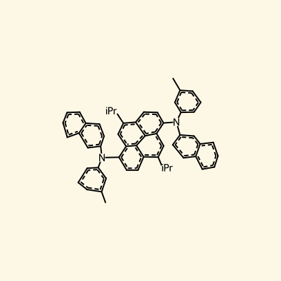 Cc1cccc(N(c2ccc3ccccc3c2)c2ccc3c(C(C)C)cc4c(N(c5cccc(C)c5)c5ccc6ccccc6c5)ccc5c(C(C)C)cc2c3c54)c1